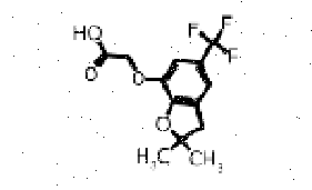 CC1(C)Cc2cc(C(F)(F)F)cc(OCC(=O)O)c2O1